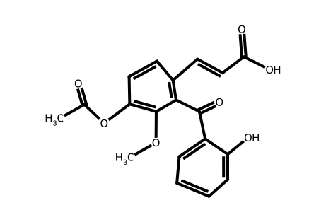 COc1c(OC(C)=O)ccc(C=CC(=O)O)c1C(=O)c1ccccc1O